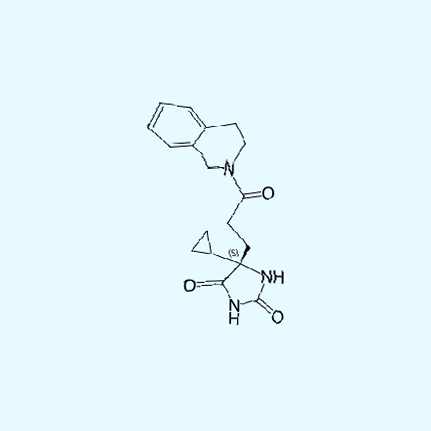 O=C1NC(=O)[C@](CCC(=O)N2CCc3ccccc3C2)(C2CC2)N1